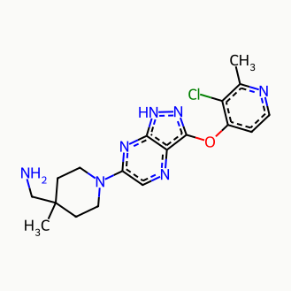 Cc1nccc(Oc2n[nH]c3nc(N4CCC(C)(CN)CC4)cnc23)c1Cl